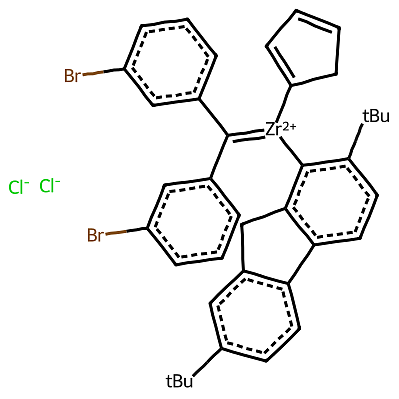 CC(C)(C)c1ccc2c(c1)Cc1c-2ccc(C(C)(C)C)[c]1[Zr+2]([C]1=CC=CC1)=[C](c1cccc(Br)c1)c1cccc(Br)c1.[Cl-].[Cl-]